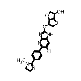 CN1CCN=C1c1ccc(-c2nc3nc(O[C@@H]4COC5C4OC[C@H]5O)[nH]c3cc2Cl)cc1